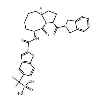 O=C(N[C@H]1CCCC[C@H]2CC[C@@H](C(=O)N3Cc4cccnc4C3)N2C1=O)c1cc2cc(C(F)(F)P(=O)(O)O)ccc2s1